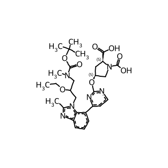 CCOC(CN(C)C(=O)OC(C)(C)C)Cn1c(C)nc2cccc(-c3ccnc(O[C@H]4C[C@@H](C(=O)O)N(C(=O)O)C4)n3)c21